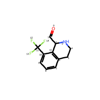 O=CC1NCCc2cccc(C(F)(F)F)c21